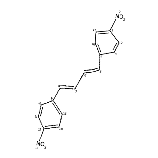 O=[N+]([O-])c1ccc(C=CC=Cc2ccc([N+](=O)[O-])cc2)cc1